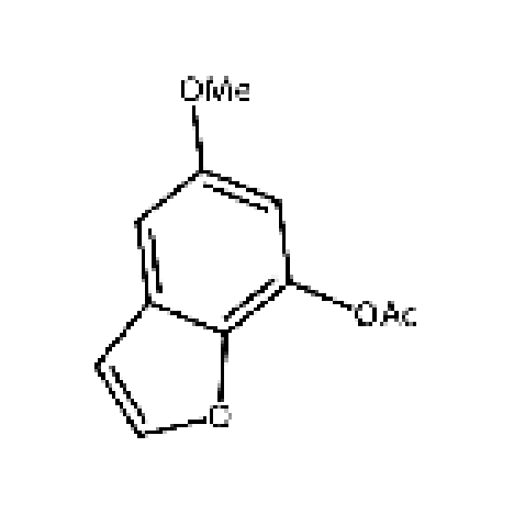 COc1cc(OC(C)=O)c2occc2c1